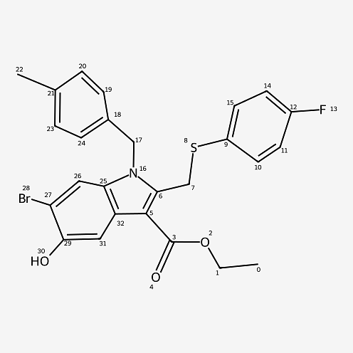 CCOC(=O)c1c(CSc2ccc(F)cc2)n(Cc2ccc(C)cc2)c2cc(Br)c(O)cc12